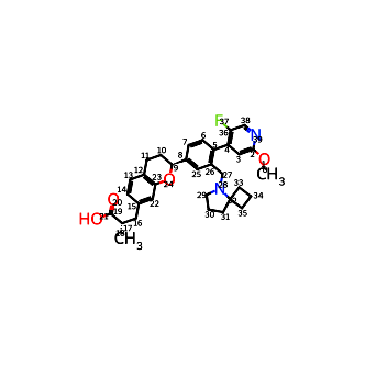 COc1cc(-c2ccc([C@@H]3CCc4ccc(C[C@H](C)C(=O)O)cc4O3)cc2CN2CCCC23CCC3)c(F)cn1